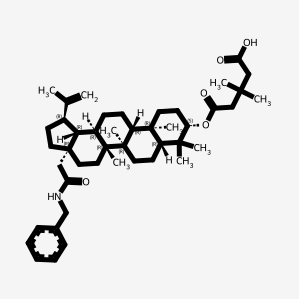 C=C(C)[C@@H]1CC[C@]2(CC(=O)NCc3ccccc3)CC[C@]3(C)[C@H](CC[C@@H]4[C@@]5(C)CC[C@H](OC(=O)CC(C)(C)CC(=O)O)C(C)(C)[C@@H]5CC[C@]43C)[C@@H]12